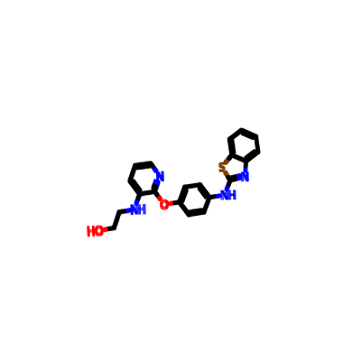 OCCNc1cccnc1Oc1ccc(Nc2nc3ccccc3s2)cc1